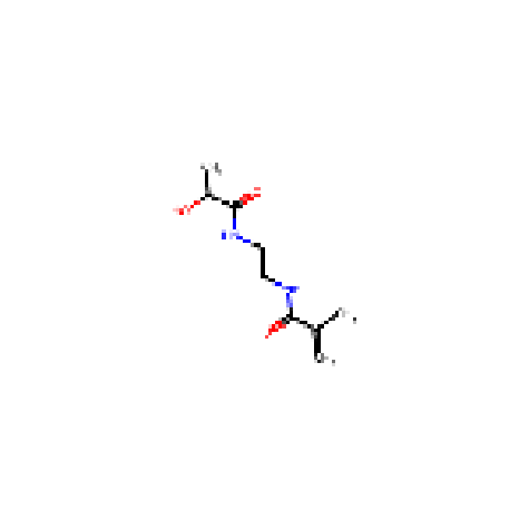 C=C(C)C(=O)NCCNC(=O)C(C)O